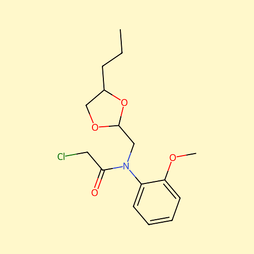 CCCC1COC(CN(C(=O)CCl)c2ccccc2OC)O1